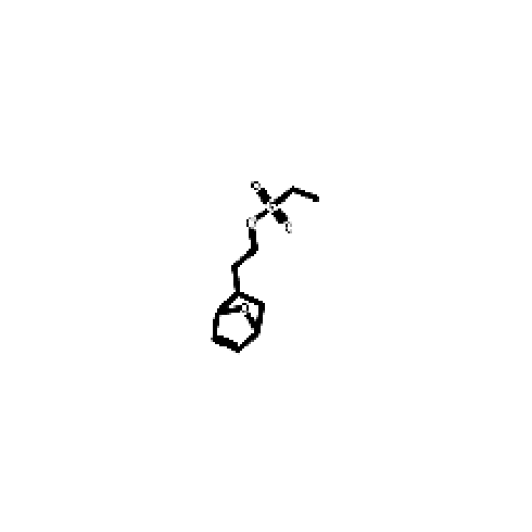 CCS(=O)(=O)OCCC1CC2C=CC1O2